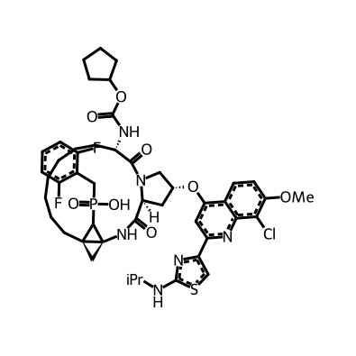 COc1ccc2c(O[C@@H]3C[C@H]4C(=O)N[C@]56C[C@@]5(CCCCCCC[C@H](NC(=O)OC5CCCC5)C(=O)N4C3)C6P(=O)(O)Cc3c(F)cccc3F)cc(-c3csc(NC(C)C)n3)nc2c1Cl